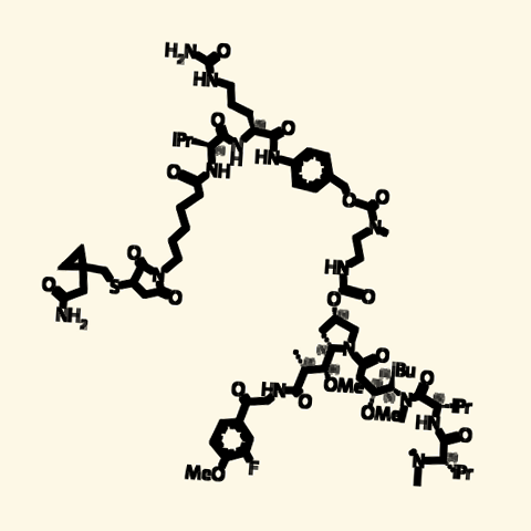 CC[C@H](C)[C@@H]([C@@H](CC(=O)N1C[C@@H](OC(=O)NCCN(C)C(=O)OCc2ccc(NC(=O)[C@H](CCCNC(N)=O)NC(=O)[C@@H](NC(=O)CCCCCN3C(=O)CC(SCC4(CC(N)=O)CC4)C3=O)C(C)C)cc2)C[C@H]1[C@H](OC)[C@@H](C)C(=O)NCC(=O)c1ccc(OC)c(F)c1)OC)N(C)C(=O)[C@@H](NC(=O)[C@H](C(C)C)N(C)C)C(C)C